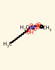 CCCCCCCCCCCCCCCCC(O)COC(CC)N1CC(=O)N(CCOS(=O)(=O)c2ccc(C)cc2)C1=O